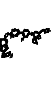 O=C1OC(CO)CN1c1ccc(-c2cnc(OC3COc4nc([N+](=O)[O-])cn4C3)nc2)c(F)c1